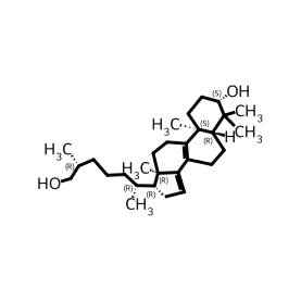 C[C@@H](CO)CCC[C@@H](C)[C@H]1CC=C2C3=C(CC[C@@]21C)[C@@]1(C)CC[C@H](O)C(C)(C)[C@@H]1CC3